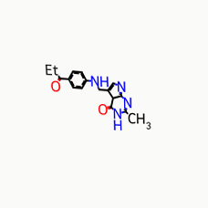 CCC(=O)c1ccc(NCC2=CN=C3N=C(C)NC(=O)C23)cc1